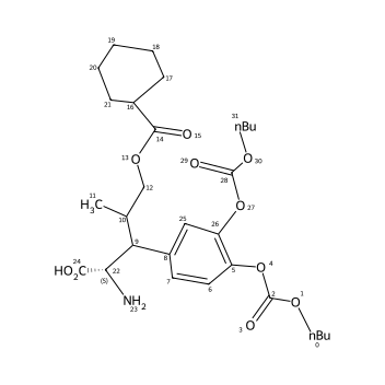 CCCCOC(=O)Oc1ccc(C(C(C)COC(=O)C2CCCCC2)[C@H](N)C(=O)O)cc1OC(=O)OCCCC